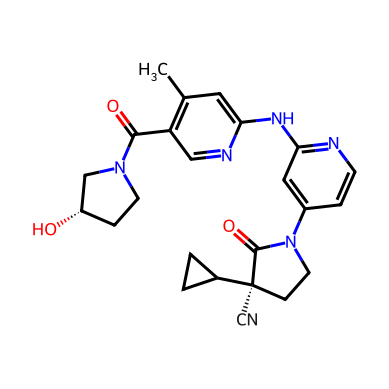 Cc1cc(Nc2cc(N3CC[C@@](C#N)(C4CC4)C3=O)ccn2)ncc1C(=O)N1CC[C@H](O)C1